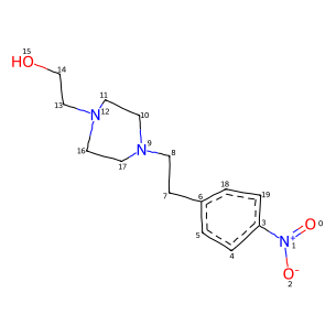 O=[N+]([O-])c1ccc(CCN2CCN(CCO)CC2)cc1